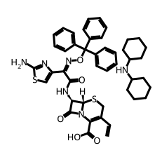 C1CCC(NC2CCCCC2)CC1.C=CC1=C(C(=O)O)N2C(=O)[C@@H](NC(=O)/C(=N\OC(c3ccccc3)(c3ccccc3)c3ccccc3)c3csc(N)n3)[C@@H]2SC1